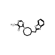 Cc1ncnc(N2CCCCC(Cc3nc4ccccc4o3)CC2)c1Cl